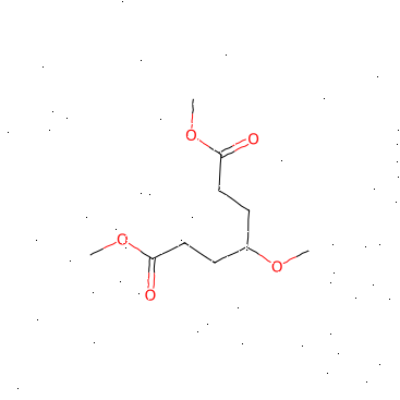 CO[C](CCC(=O)OC)CCC(=O)OC